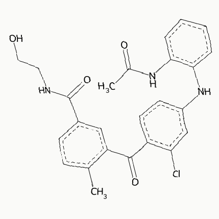 CC(=O)Nc1ccccc1Nc1ccc(C(=O)c2cc(C(=O)NCCO)ccc2C)c(Cl)c1